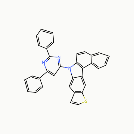 c1ccc(-c2cc(-n3c4cc5ccsc5cc4c4c5ccccc5ccc43)nc(-c3ccccc3)n2)cc1